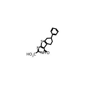 O=C(O)c1nc2sc3c(c2c(=O)[nH]1)CCC(c1ccccc1)C3